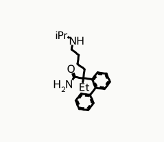 CCC(CCCCNC(C)C)(C(N)=O)c1ccccc1-c1ccccc1